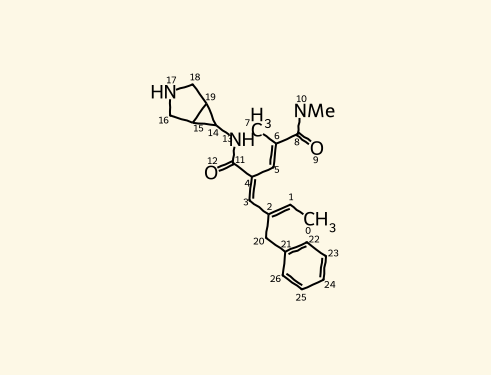 C/C=C(/C=C(\C=C(/C)C(=O)NC)C(=O)NC1C2CNCC21)Cc1ccccc1